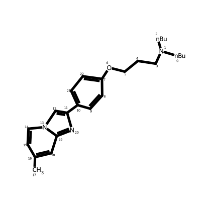 CCCCN(CCCC)CCCOc1ccc(-c2cn3ccc(C)cc3n2)cc1